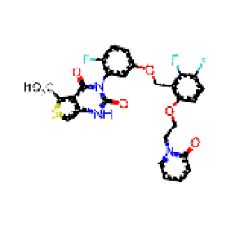 O=C(O)c1scc2[nH]c(=O)n(-c3cc(OCc4c(OCCn5ccccc5=O)ccc(F)c4F)ccc3F)c(=O)c12